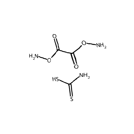 NC(=S)S.NOC(=O)C(=O)ON